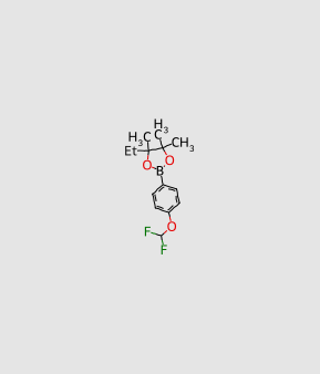 CCC1(C)OB(c2ccc(OC(F)F)cc2)OC1(C)C